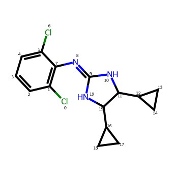 Clc1cccc(Cl)c1N=C1NC(C2CC2)C(C2CC2)N1